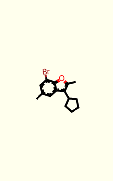 Cc1cc(Br)c2oc(C)c(C3CCCC3)c2c1